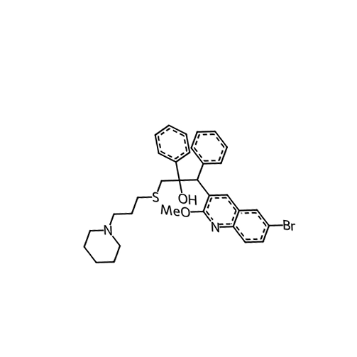 COc1nc2ccc(Br)cc2cc1C(c1ccccc1)C(O)(CSCCCN1CCCCC1)c1ccccc1